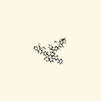 CC1(C)c2ccccc2-c2ccc(-c3ccc4c(c3)c3ccccc3n4-c3nc(-c4ccc(-c5ccccc5)cc4-c4ccccc4)nc(-n4c5ccccc5c5cc(-c6ccc7c(c6)C(C)(C)c6ccccc6-7)ccc54)n3)cc21